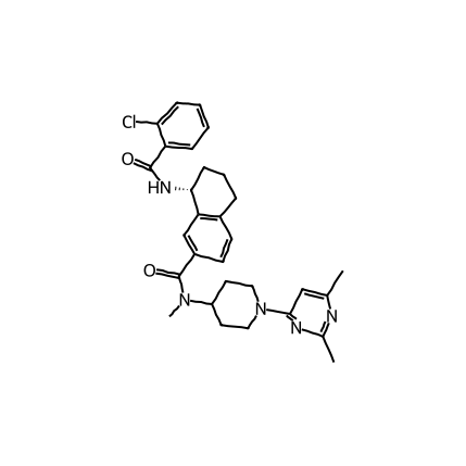 Cc1cc(N2CCC(N(C)C(=O)c3ccc4c(c3)[C@H](NC(=O)c3ccccc3Cl)CCC4)CC2)nc(C)n1